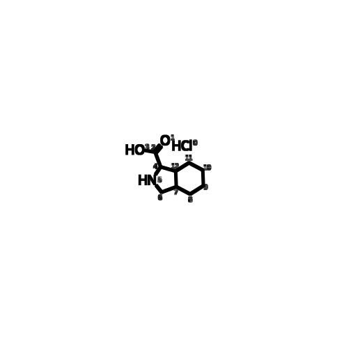 Cl.O=C(O)C1NCC2CCCCC21